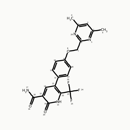 Cc1cc(C)nc(COc2ccc(-c3cc(C(N)=O)c(=O)[nH]c3C(F)(F)F)cc2)n1